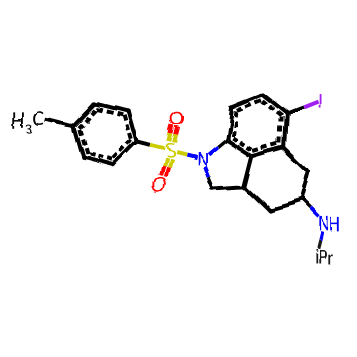 Cc1ccc(S(=O)(=O)N2CC3CC(NC(C)C)Cc4c(I)ccc2c43)cc1